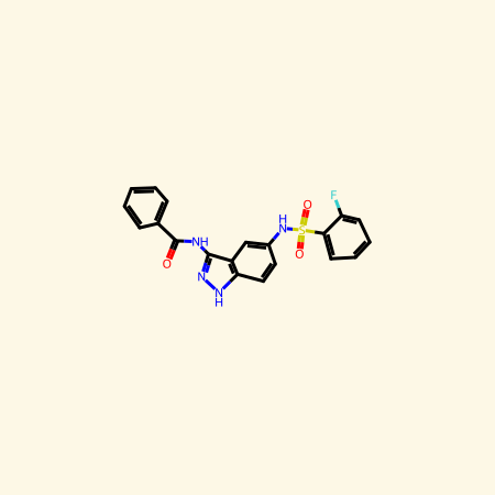 O=C(Nc1n[nH]c2ccc(NS(=O)(=O)c3ccccc3F)cc12)c1ccccc1